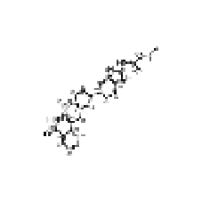 CCOC(=O)Nc1nc2cc(-c3ccc(OC)c(Cc4n[nH]c(=O)c5ccccc45)c3)ccc2[nH]1